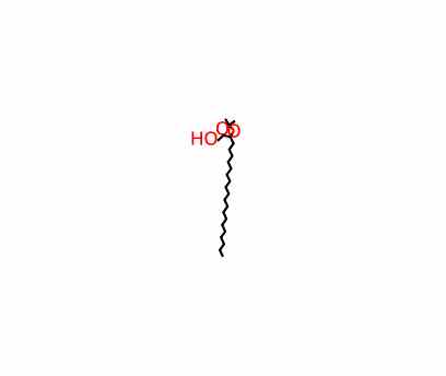 CCCCCCCCCCCCCCCCCCCC1OC(C)(C)OC1CO